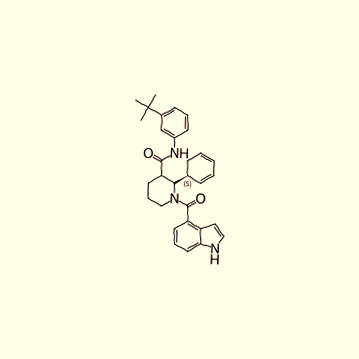 CC(C)(C)c1cccc(NC(=O)C2CCCN(C(=O)c3cccc4[nH]ccc34)C2[C@@H]2C=CC=CC2)c1